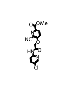 COC(=O)c1ccc(OCC(=O)Nc2ccc(Cl)cn2)c(C#N)n1